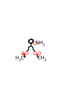 C=CC(=O)OCCCC(CCCOC(=O)C=C)c1ccccc1O[SiH3]